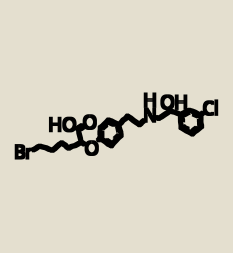 O=C(O)C(CCCCBr)Oc1ccc(CCNCC(O)c2cccc(Cl)c2)cc1